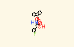 O=C(NC(CCc1cccc(F)c1)C(=O)O)OCC1c2ccccc2-c2ccccc21